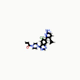 C=CC(=O)N1CCN(c2ncnc3cc(-c4nc(N)ccc4C4CC4)c(Cl)cc23)CC1